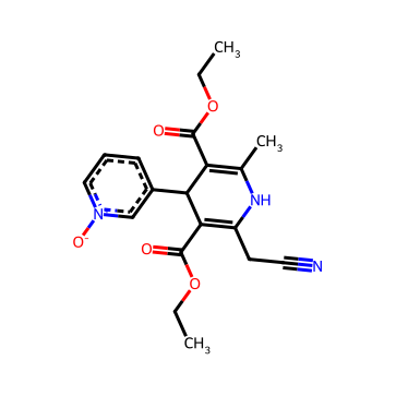 CCOC(=O)C1=C(C)NC(CC#N)=C(C(=O)OCC)C1c1ccc[n+]([O-])c1